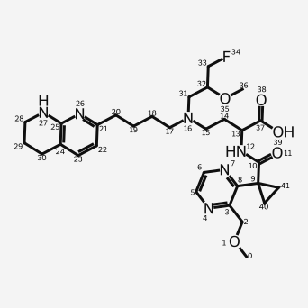 COCc1nccnc1C1(C(=O)NC(CCN(CCCCc2ccc3c(n2)NCCC3)CC(CF)OC)C(=O)O)CC1